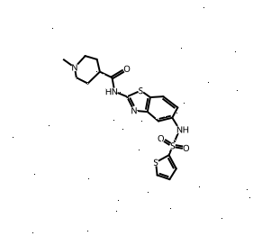 CN1CCC(C(=O)Nc2nc3cc(NS(=O)(=O)c4cccs4)ccc3s2)CC1